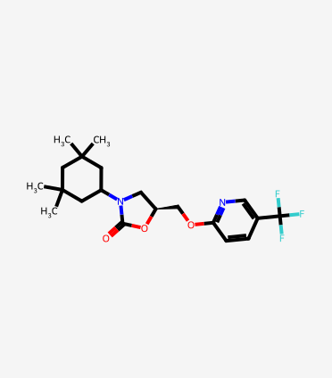 CC1(C)CC(N2C[C@@H](COc3ccc(C(F)(F)F)cn3)OC2=O)CC(C)(C)C1